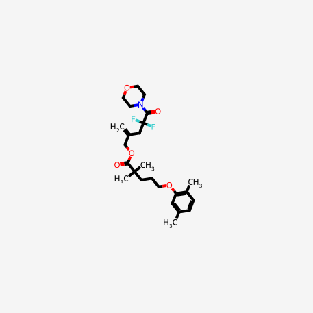 C=C(COC(=O)C(C)(C)CCCOc1cc(C)ccc1C)CC(F)(F)C(=O)N1CCOCC1